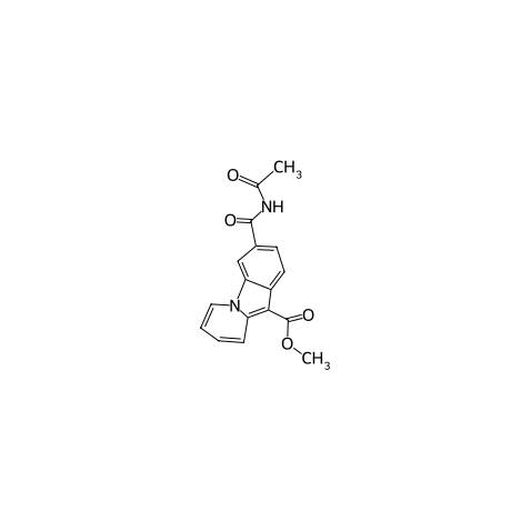 COC(=O)c1c2ccc(C(=O)NC(C)=O)cc2n2ccccc12